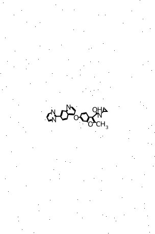 Cc1oc2cc(Oc3ccnc4cc(-c5ncccn5)ccc34)ccc2c1C(=O)NC1CC1